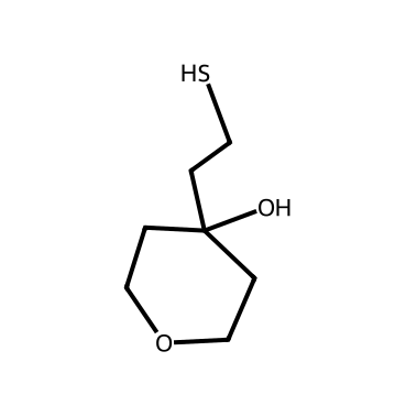 OC1(CCS)CCOCC1